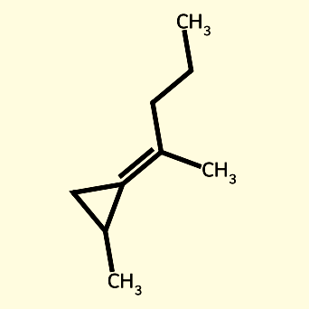 CCCC(C)=C1CC1C